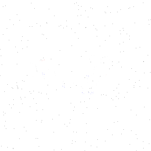 COc1cc2[nH]nc(-c3ccc(C4CCN(C(=O)C(C)O)CC4)nc3)c2nc1-c1cccc2c1CC(F)C2